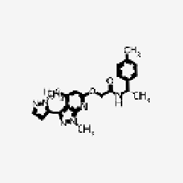 Cc1ccc([C@H](C)NC(=O)COc2cc(C)c3c(-c4ccnn4C)nn(C)c3n2)cc1